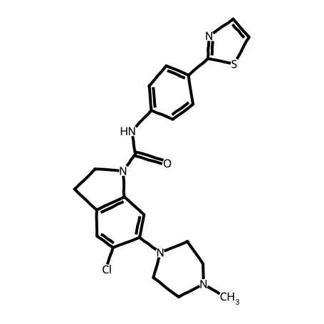 CN1CCN(c2cc3c(cc2Cl)CCN3C(=O)Nc2ccc(-c3nccs3)cc2)CC1